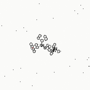 CC1(C)c2cc(-c3cc(-c4cc(-c5cccc6ccccc56)cc(-c5cccc6ccccc56)c4)cc(-c4ccc(-c5cccc6ccccc56)c5c(-c6cccc7ccccc67)cccc45)c3)ccc2-c2cc3c4ccccc4n(-c4nc(-c5ccccc5)nc(-c5ccccc5)n4)c3cc21